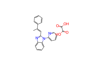 C/C(=C\c1nc2ccccc2n1-c1ccccn1)c1ccccc1.O=C(O)C(=O)O